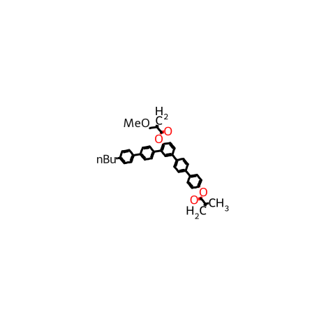 C=C(C)C(=O)Oc1ccc(-c2ccc(-c3ccc(OC(=O)C(=C)COC)c(-c4ccc(-c5ccc(CCCC)cc5)cc4)c3)cc2)cc1